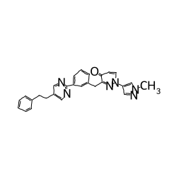 Cn1cc(-n2ccc(=O)c(Cc3cccc(-c4ncc(CCc5ccccc5)cn4)c3)n2)cn1